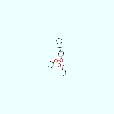 C/C=C\C=C(/C)OP(OC(/C=C\C)=C/C)Oc1ccc(C(C)(C)c2ccccc2)cc1